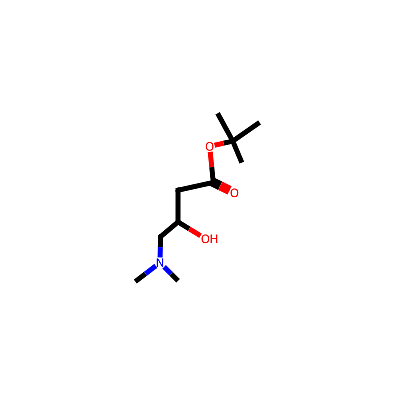 CN(C)CC(O)CC(=O)OC(C)(C)C